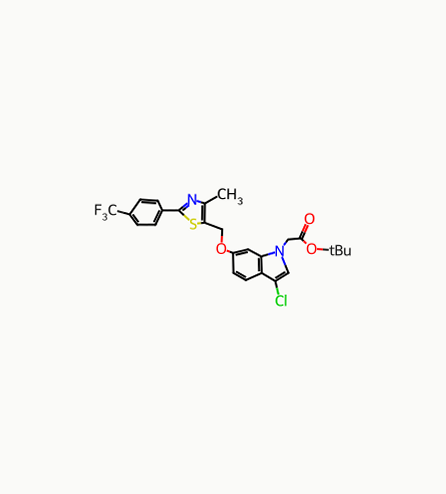 Cc1nc(-c2ccc(C(F)(F)F)cc2)sc1COc1ccc2c(Cl)cn(CC(=O)OC(C)(C)C)c2c1